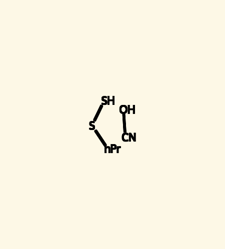 CCCSS.N#CO